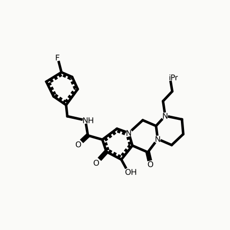 CC(C)CCN1CCCN2C(=O)c3c(O)c(=O)c(C(=O)NCc4ccc(F)cc4)cn3CC12